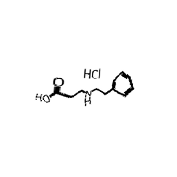 Cl.O=C(O)CCNCCc1ccccc1